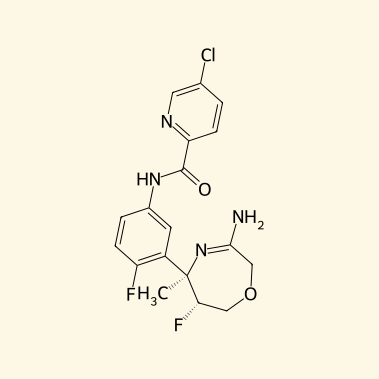 C[C@]1(c2cc(NC(=O)c3ccc(Cl)cn3)ccc2F)N=C(N)COC[C@@H]1F